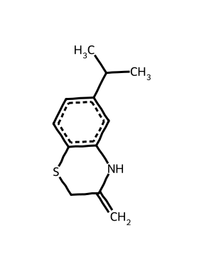 C=C1CSc2ccc(C(C)C)cc2N1